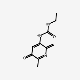 C=C1N=C(C)C(=O)C=C1NC(=O)NCC